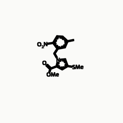 COC(=O)c1cc(SC)cn1Cc1cc(C)ccc1[N+](=O)[O-]